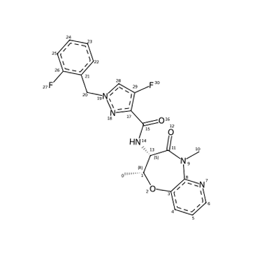 C[C@H]1Oc2cccnc2N(C)C(=O)[C@H]1NC(=O)c1nn(Cc2ccccc2F)cc1F